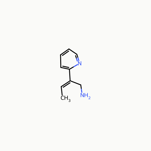 CC=C(CN)c1ccccn1